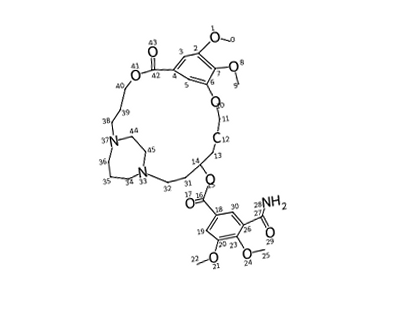 COc1cc2cc(c1OC)OCCCC(OC(=O)c1cc(OC)c(OC)c(C(N)=O)c1)CCN1CCCN(CCCOC2=O)CC1